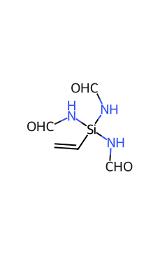 C=C[Si](NC=O)(NC=O)NC=O